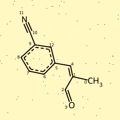 CC(C=O)=Cc1cccc(C#N)c1